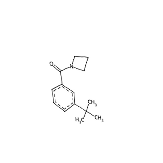 CC(C)(C)c1cccc(C(=O)N2CCC2)c1